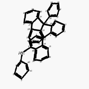 c1ccc(Nc2ccc(-c3ccccc3C3(c4ccccc4)c4ccccc4-c4ccccc43)c3ccccc23)cc1